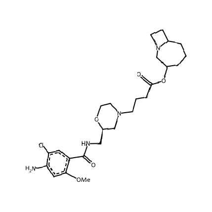 COc1cc(N)c(Cl)cc1C(=O)NC[C@@H]1CN(CCCC(=O)OC2CCCC3CCN3C2)CCO1